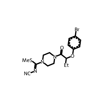 CCC(Oc1ccc(Br)cc1)C(=O)N1CCN(/C(=N/C#N)SC)CC1